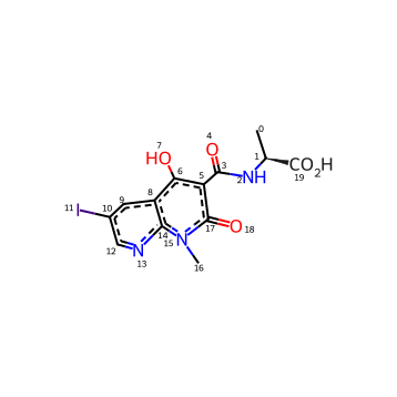 C[C@H](NC(=O)c1c(O)c2cc(I)cnc2n(C)c1=O)C(=O)O